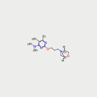 CCCc1c(CC)nc(OCCCN2C[C@@H]3C[C@H]2CO3)nc1N(CCC)CCC